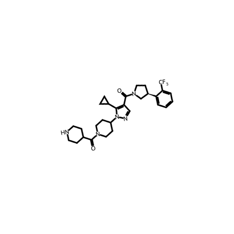 O=C(c1cnn(C2CCN(C(=O)C3CCNCC3)CC2)c1C1CC1)N1CC[C@@H](c2ccccc2C(F)(F)F)C1